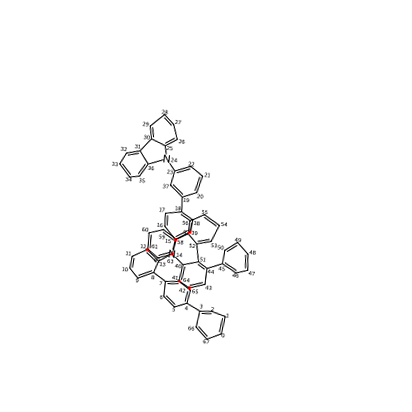 c1ccc(-c2ccc(-c3ccccc3N(c3ccc(-c4cccc(-n5c6ccccc6c6ccccc65)c4)cc3)c3cccc(-c4ccccc4)c3-c3ccccc3-c3ccccc3)cc2)cc1